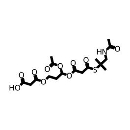 CC(=O)NCC(C)(C)SC(=O)CC(=O)OC(CCOC(=O)CC(=O)O)OC(C)=O